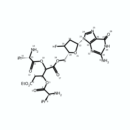 CCOC(=O)CC(OC(=O)[C@@H](N)C(C)C)C(OC(=O)[C@@H](N)C(C)C)C(=O)OC[C@H]1O[C@@H](n2cnc3c(=O)[nH]c(N)nc32)CC1F